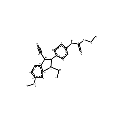 CCOC(=O)Nc1ccc(C2C(C#N)c3ccc(OC)cc3N2CC)cc1